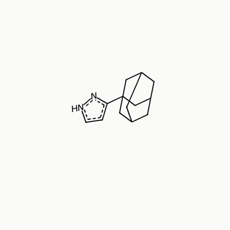 c1cc(C23CC4CC(CC(C4)C2)C3)n[nH]1